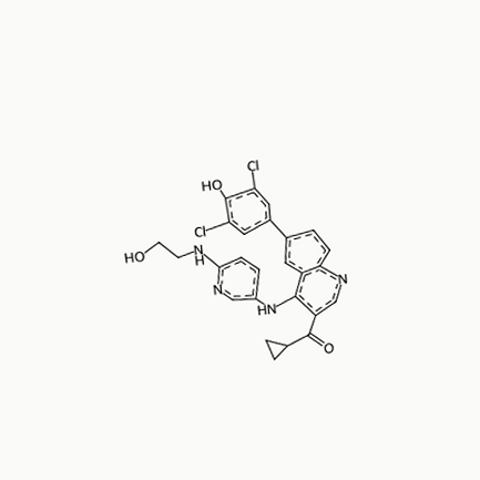 O=C(c1cnc2ccc(-c3cc(Cl)c(O)c(Cl)c3)cc2c1Nc1ccc(NCCO)nc1)C1CC1